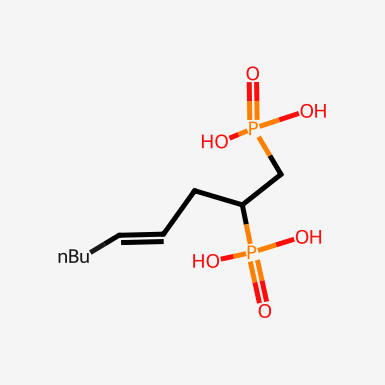 CCCCC=CCC(CP(=O)(O)O)P(=O)(O)O